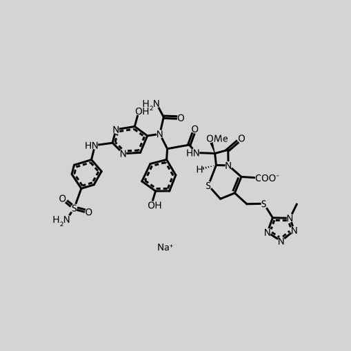 CO[C@@]1(NC(=O)C(c2ccc(O)cc2)N(C(N)=O)c2cnc(Nc3ccc(S(N)(=O)=O)cc3)nc2O)C(=O)N2C(C(=O)[O-])=C(CSc3nnnn3C)CS[C@H]21.[Na+]